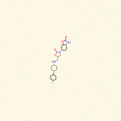 O=C1OC(CN[C@H]2CC[C@H](c3ccc(F)cc3)CC2)CN1c1ccc2[nH]c(=O)oc2c1